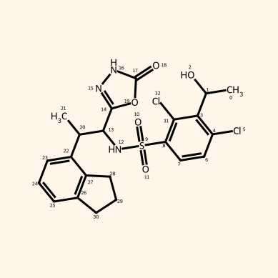 CC(O)c1c(Cl)ccc(S(=O)(=O)NC(c2n[nH]c(=O)o2)C(C)c2cccc3c2CCC3)c1Cl